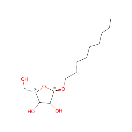 CCCCCCCCCO[C@@H]1O[C@@H](CO)C(O)C1O